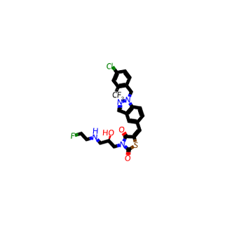 O=C1SC(=Cc2ccc3c(cnn3Cc3ccc(Cl)cc3C(F)(F)F)c2)C(=O)N1C[C@H](O)CNCCF